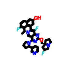 CCc1c(F)ccc2cc(O)cc(-c3ncc4c(N5CCCC5c5cccnc5)nc(OC[C@@]56CCCN5C[C@H](F)C6)nc4c3F)c12